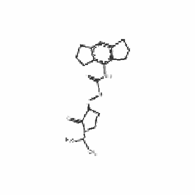 CC(C)N1CCC(SNC(=O)Nc2c3c(cc4c2CCC4)CCC3)C1=O